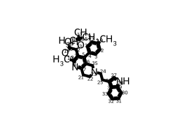 Cc1ccc(-c2c3c(nc(C)c2[C@H](OC(C)(C)C)C(=O)O)CCN(CCc2c[nH]c4ccccc24)C3)cc1